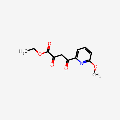 CCOC(=O)C(=O)CC(=O)c1cccc(OC)n1